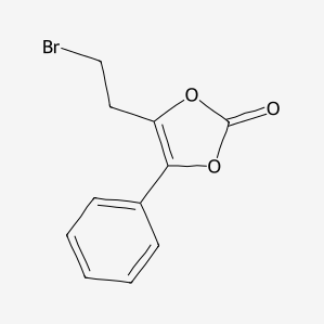 O=c1oc(CCBr)c(-c2ccccc2)o1